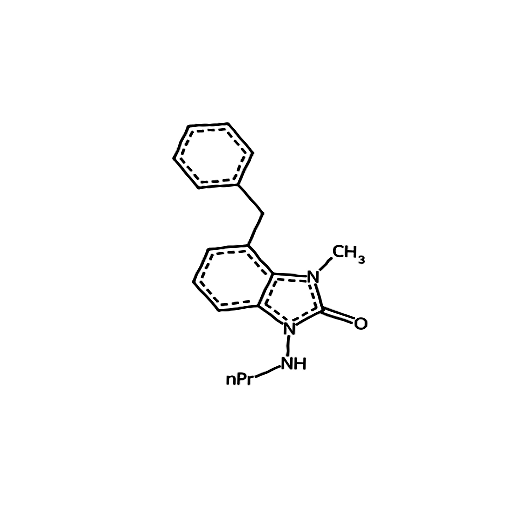 CCCNn1c(=O)n(C)c2c(Cc3ccccc3)cccc21